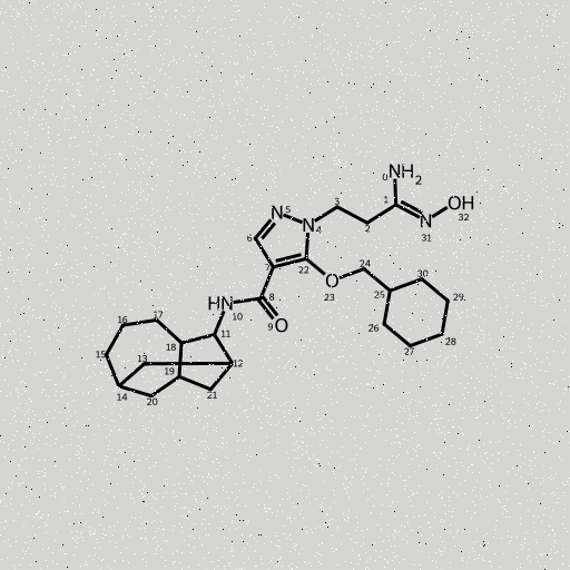 N/C(CCn1ncc(C(=O)NC2C3CC4CCCC2C(C4)C3)c1OCC1CCCCC1)=N\O